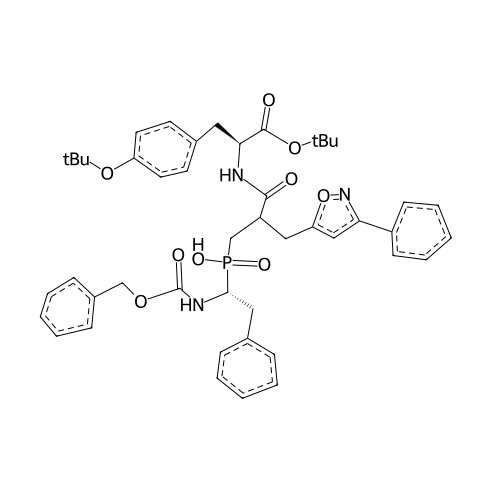 CC(C)(C)OC(=O)[C@H](Cc1ccc(OC(C)(C)C)cc1)NC(=O)C(Cc1cc(-c2ccccc2)no1)CP(=O)(O)[C@H](Cc1ccccc1)NC(=O)OCc1ccccc1